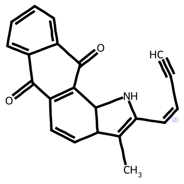 C#C/C=C\C1=C(C)C2C=CC3=C(C(=O)c4ccccc4C3=O)C2N1